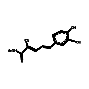 CC(=O)NC(=O)/C(C#N)=C/C=C/c1ccc(O)c(O)c1